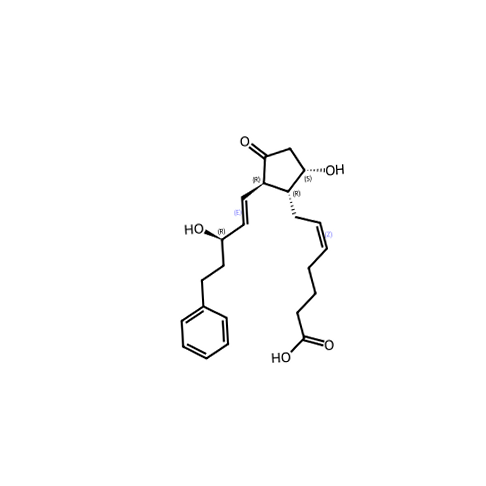 O=C(O)CCC/C=C\C[C@H]1[C@@H](O)CC(=O)[C@@H]1/C=C/[C@H](O)CCc1ccccc1